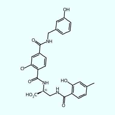 Cc1ccc(C(=O)NC[C@H](NC(=O)c2ccc(C(=O)NCc3cccc(O)c3)cc2Cl)C(=O)O)c(O)c1